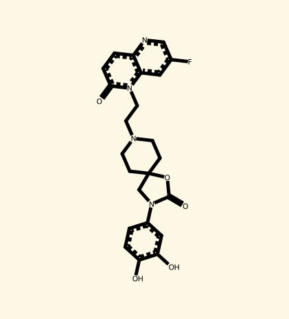 O=C1OC2(CCN(CCn3c(=O)ccc4ncc(F)cc43)CC2)CN1c1ccc(O)c(O)c1